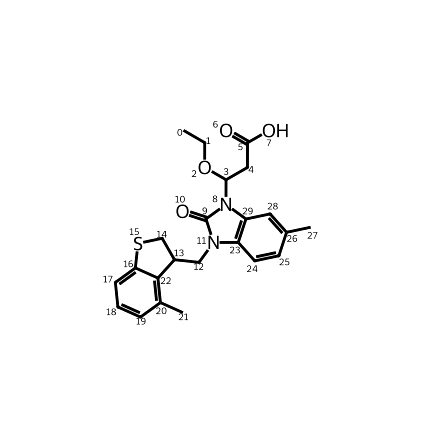 CCOC(CC(=O)O)n1c(=O)n(CC2CSc3cccc(C)c32)c2ccc(C)cc21